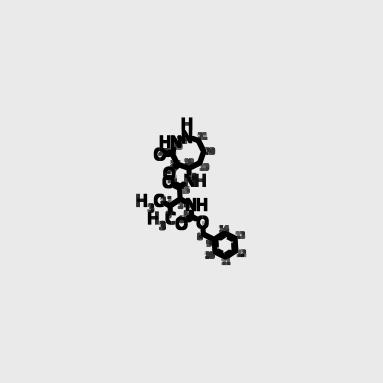 CC(C)C(NC(=O)OCc1ccccc1)C(=O)NC1CCCNNC(=O)C1=O